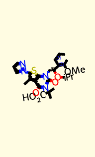 C/C=C\C(=C(/C)OC)[C@H](Cn1c(=O)n(C(C)(C)C(=O)O)c(=O)c2c(C)c(-n3cccn3)sc21)OC(C)C